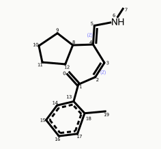 C=C(/C=C\C(=C/NC)C1CCCC1)c1ccccc1C